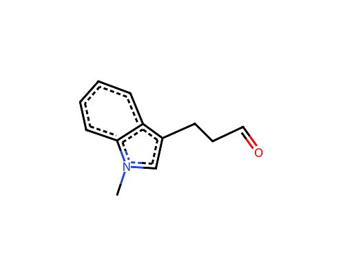 Cn1cc(CCC=O)c2ccccc21